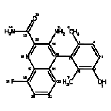 Cc1ccc(O)c(C)c1-c1c(N)c(C(N)=O)nc2c(F)cccc12